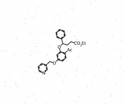 CCOC(=O)CCC(Oc1cc(OCc2cccnc2)ccc1C(C)=O)c1ccccc1